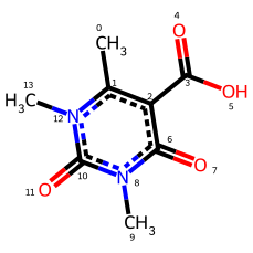 Cc1c(C(=O)O)c(=O)n(C)c(=O)n1C